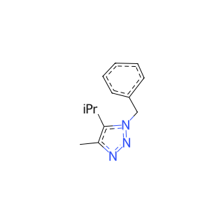 Cc1nnn(Cc2ccccc2)c1C(C)C